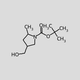 CC1CC(CO)CN1C(=O)OC(C)(C)C